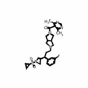 Cc1ncnc(C)c1C(=O)N1CC2CN(CCC(c3cccc(F)c3)C3CN(S(=O)(=O)C4CC4)C3)CC2C1